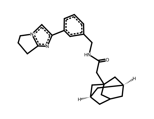 O=C(CC12CC3C[C@H](C1)C[C@@H](C3)C2)NCc1cccc(-c2cn3c(n2)CCC3)c1